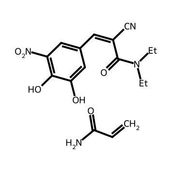 C=CC(N)=O.CCN(CC)C(=O)C(C#N)=Cc1cc(O)c(O)c([N+](=O)[O-])c1